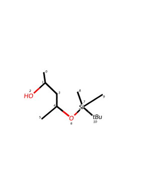 CC(O)CC(C)O[Si](C)(C)C(C)(C)C